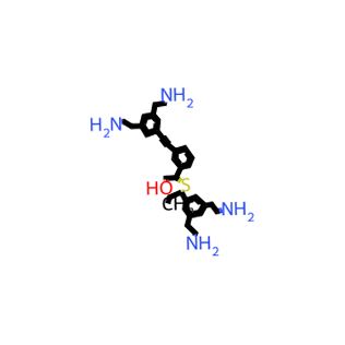 CCC(SC(CO)c1cccc(C#Cc2cc(CCN)cc(CCN)c2)c1)c1cc(CCN)cc(CCN)c1